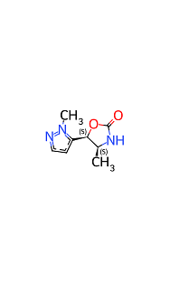 C[C@@H]1NC(=O)O[C@@H]1c1ccnn1C